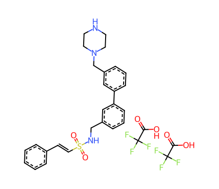 O=C(O)C(F)(F)F.O=C(O)C(F)(F)F.O=S(=O)(/C=C/c1ccccc1)NCc1cccc(-c2cccc(CN3CCNCC3)c2)c1